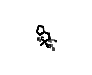 C[C@@H](CC1CCCC1)C(C)(C(F)(F)F)C(F)(F)F